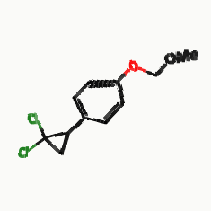 COCOc1ccc(C2CC2(Cl)Cl)cc1